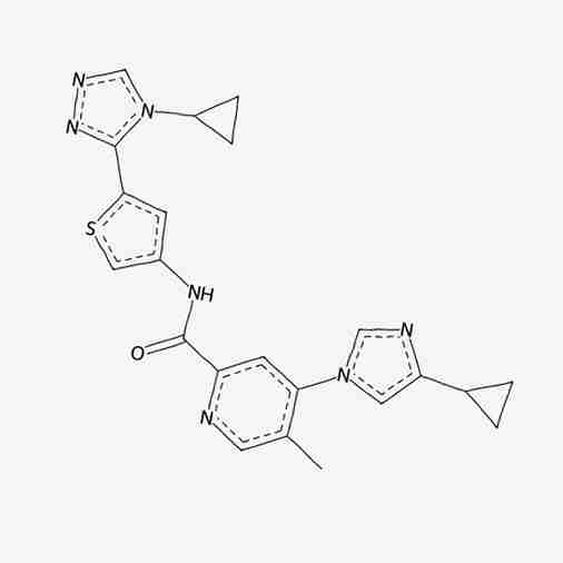 Cc1cnc(C(=O)Nc2csc(-c3nncn3C3CC3)c2)cc1-n1cnc(C2CC2)c1